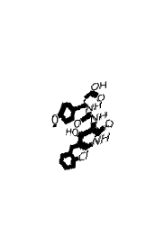 COc1ccc([C@H](CC(=O)O)NC(=O)Nc2c(O)c(Cc3ccccc3Cl)c[nH]c2=O)cc1